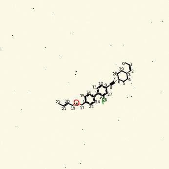 C/C=C\[C@H]1CC[C@H](C#Cc2ccc(-c3ccc(COC/C=C/C)cc3)c(F)c2)CC1